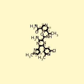 Cc1cc(-c2nc(C(=O)NC(C)c3cncc(C(N)=O)n3)c(N)nc2-c2ccn(C)n2)cc(Cl)n1